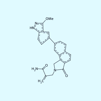 C=C(CN1Cc2c(ccc3ccc(-c4ccc5[nH]nc(OC)c5c4)cc23)C1=O)C(N)=O